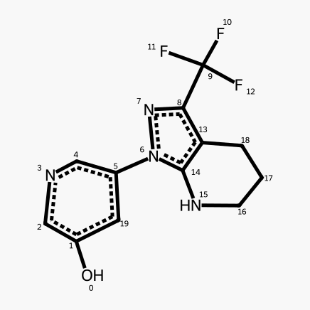 Oc1cncc(-n2nc(C(F)(F)F)c3c2NCCC3)c1